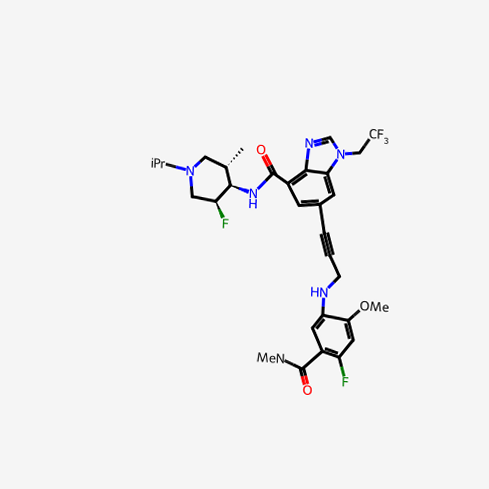 CNC(=O)c1cc(NCC#Cc2cc(C(=O)N[C@@H]3[C@@H](C)CN(C(C)C)C[C@@H]3F)c3ncn(CC(F)(F)F)c3c2)c(OC)cc1F